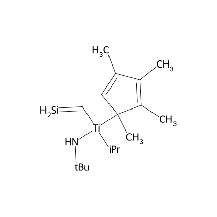 CC1=C[C](C)([Ti]([CH]=[SiH2])([NH]C(C)(C)C)[CH](C)C)C(C)=C1C